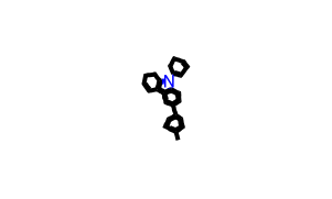 Cc1ccc(-c2ccc3c(c2)c2c(n3C3=CC=CCC3)CCC=C2)cc1